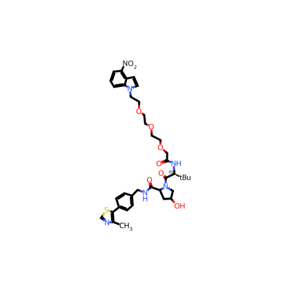 Cc1ncsc1-c1ccc(CNC(=O)C2CC(O)CN2C(=O)[C@@H](NC(=O)COCCOCCOCCn2ccc3c([N+](=O)[O-])cccc32)C(C)(C)C)cc1